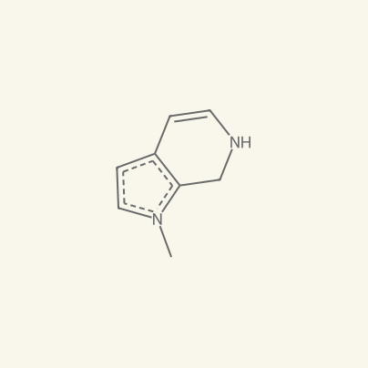 Cn1ccc2c1CNC=C2